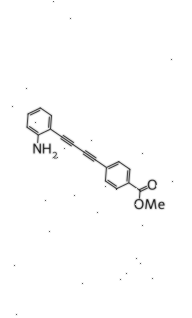 COC(=O)c1ccc(C#CC#Cc2ccccc2N)cc1